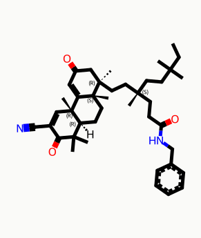 CCC(C)(C)CC[C@](C)(CCC(=O)NCc1ccccc1)CC[C@]1(C)CC(=O)C=C2[C@@]3(C)C=C(C#N)C(=O)C(C)(C)[C@@H]3CC[C@]21C